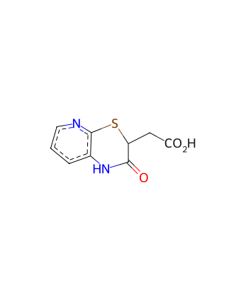 O=C(O)CC1Sc2ncccc2NC1=O